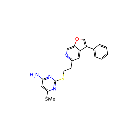 CSc1cc(N)nc(SCCc2cc3c(-c4ccccc4)coc3cn2)n1